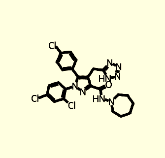 O=C(NN1CCCCCC1)c1nn(-c2ccc(Cl)cc2Cl)c(-c2ccc(Cl)cc2)c1Cc1nnn[nH]1